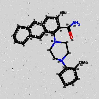 CCCCc1cc2cc3ccccc3cc2c(N2CCN(c3ccccc3OC)CC2)c1C(N)=O